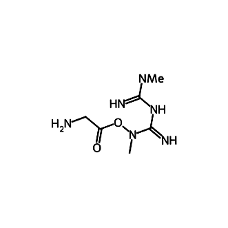 CNC(=N)NC(=N)N(C)OC(=O)CN